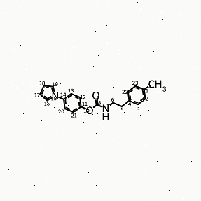 Cc1ccc(CCNC(=O)Oc2ccc(-n3cccc3)cc2)cc1